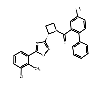 Cc1ccc(-c2ccccc2)c(C(=O)N2CC[C@H]2c2noc(-c3cccc(Cl)c3C)n2)c1